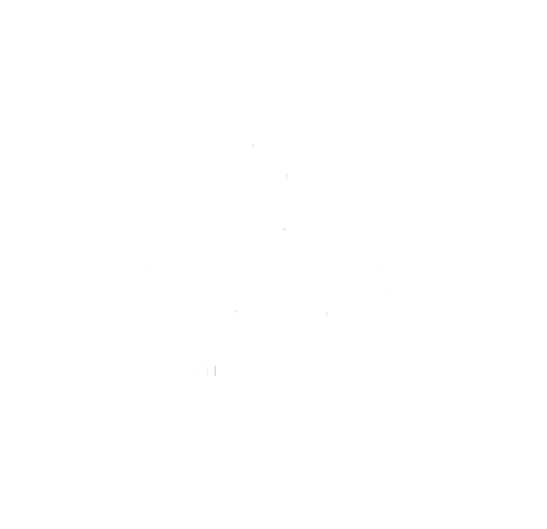 CC1CCCC(c2ccccc2)(c2ccc(O)cc2)C1